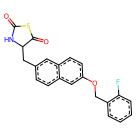 O=C1NC(Cc2ccc3cc(OCc4ccccc4F)ccc3c2)C(=O)S1